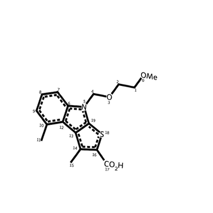 COCCOCn1c2cccc(C)c2c2c(C)c(C(=O)O)sc21